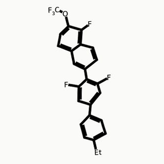 CCc1ccc(-c2cc(F)c(-c3ccc4c(F)c(OC(F)(F)F)ccc4c3)c(F)c2)cc1